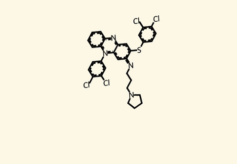 Clc1ccc(Sc2cc3nc4ccccc4n(-c4ccc(Cl)c(Cl)c4)c-3cc2=NCCCN2CCCC2)cc1Cl